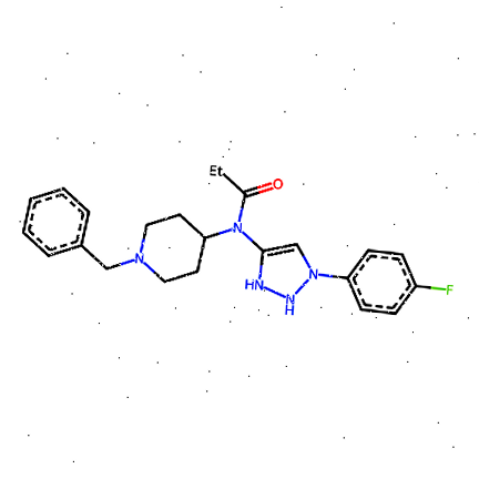 CCC(=O)N(C1=CN(c2ccc(F)cc2)NN1)C1CCN(Cc2ccccc2)CC1